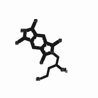 CC(C)CCC(C)Cn1c(=O)c2cc3c(=O)[nH]c(=O)c3cc2c1=O